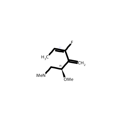 C=C(/C(F)=C\C)[C@H](CNC)OC